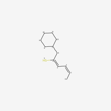 C/C=C\C=C(\S)CC1CCCCC1